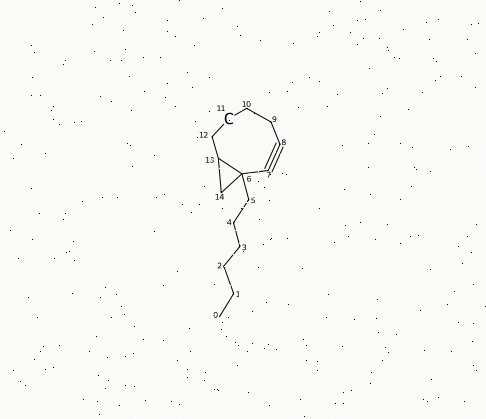 CCCCCCC12C#CCCCCC1C2